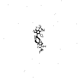 CC(C#N)Nc1c(F)c(Cl)c(-c2cn3cc(NC(=O)[C@@H]4C[C@@H]4F)nc3cn2)c2cn[nH]c12